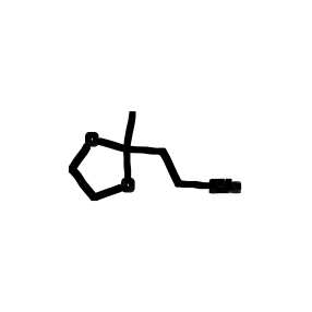 CSCCC1(C)OCCO1